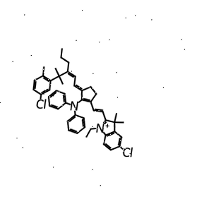 CCC/C(=C/C=C1\CCC(/C=C/C2=[N+](CC)c3ccc(Cl)cc3C2(C)C)=C1N(c1ccccc1)c1ccccc1)C(C)(C)c1cc(Cl)ccc1C